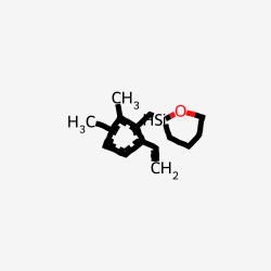 C=Cc1ccc(C)c(C)c1C[SiH]1CCCCO1